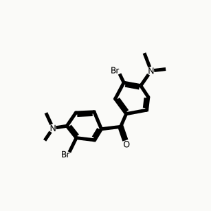 CN(C)c1ccc(C(=O)c2ccc(N(C)C)c(Br)c2)cc1Br